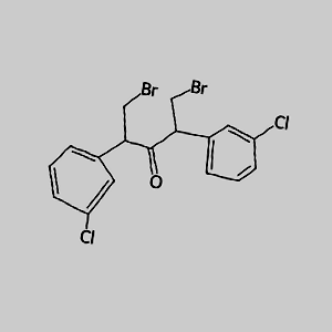 O=C(C(CBr)c1cccc(Cl)c1)C(CBr)c1cccc(Cl)c1